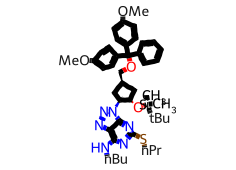 CCCCNc1nc(SCCC)nc2c1nnn2[C@H]1C[C@@H](COC(c2ccccc2)(c2ccc(OC)cc2)c2ccc(OC)cc2)C[C@@H]1O[Si](C)(C)C(C)(C)C